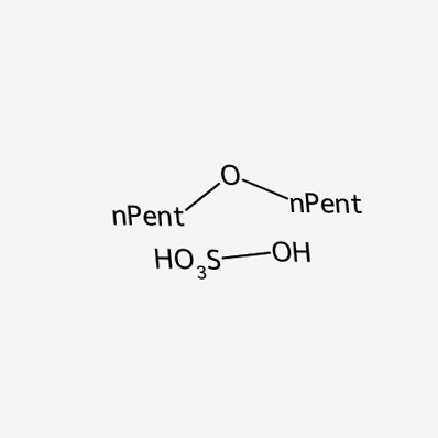 CCCCCOCCCCC.O=S(=O)(O)O